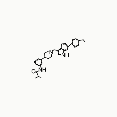 CCc1ccc(-c2ccc3c(CN4CCC(c5cccc(NC(=O)C(C)C)c5)CC4)c[nH]c3c2)cc1